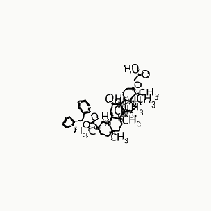 CC1(C)[C@@H](OCC(=O)O)CC[C@]2(C)[C@H]3C(=O)C=C4[C@@H]5C[C@@](C)(C(=O)OC(c6ccccc6)c6ccccc6)CC[C@]5(C)CC[C@@]4(C)[C@]3(C)CC[C@@H]12